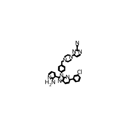 N#Cc1nccc(N2CCN(Cc3ccc(-n4c(-c5cccnc5N)nc5ccc(-c6cccc(Cl)c6)nc54)cc3)CC2)n1